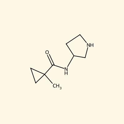 CC1(C(=O)NC2CCNC2)CC1